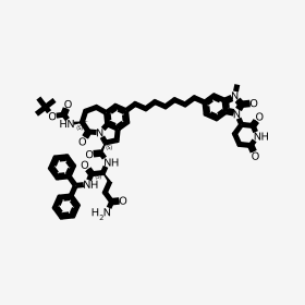 Cn1c(=O)n(C2CCC(=O)NC2=O)c2ccc(CCCCCCCc3cc4c5c(c3)C[C@@H](C(=O)N[C@@H](CCC(N)=O)C(=O)NC(c3ccccc3)c3ccccc3)N5C(=O)[C@@H](NC(=O)OC(C)(C)C)CC4)cc21